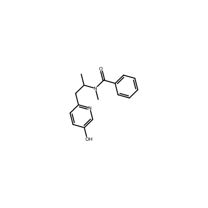 CC(Cc1ccc(O)cn1)N(C)C(=O)c1ccccc1